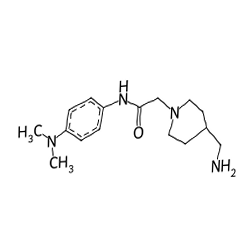 CN(C)c1ccc(NC(=O)CN2CCC(CN)CC2)cc1